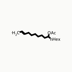 [CH2]C=CCCCCCCC(CCCCCC)OC(C)=O